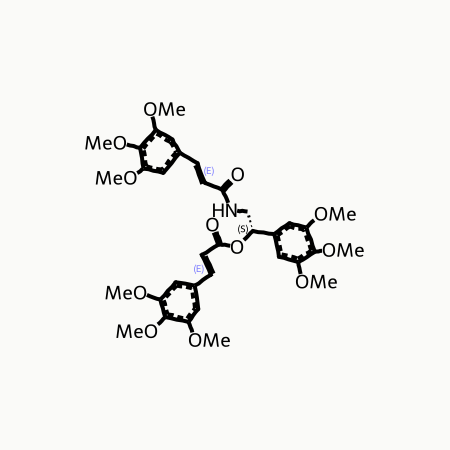 COc1cc(/C=C/C(=O)NC[C@@H](OC(=O)/C=C/c2cc(OC)c(OC)c(OC)c2)c2cc(OC)c(OC)c(OC)c2)cc(OC)c1OC